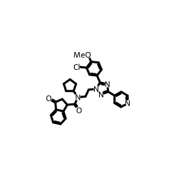 COc1ccc(-c2nc(-c3ccncc3)nn2CCN(C(=O)C2CC(=O)c3ccccc32)C2CCCC2)cc1Cl